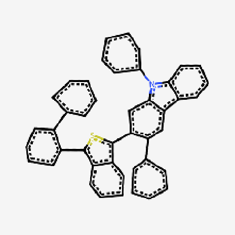 c1ccc(-c2ccccc2-c2sc(-c3cc4c(cc3-c3ccccc3)c3ccccc3n4-c3ccccc3)c3ccccc23)cc1